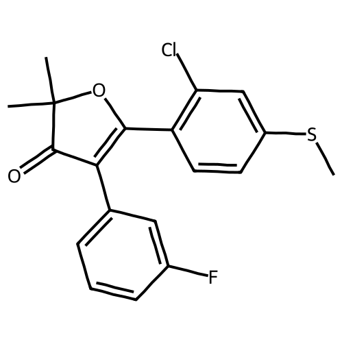 CSc1ccc(C2=C(c3cccc(F)c3)C(=O)C(C)(C)O2)c(Cl)c1